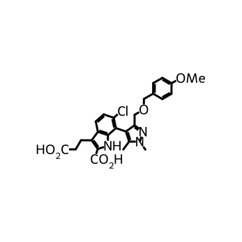 COc1ccc(COCc2nn(C)c(C)c2-c2c(Cl)ccc3c(CCC(=O)O)c(C(=O)O)[nH]c23)cc1